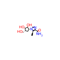 C#Cc1c(C(N)=O)ncn1[C@@H]1C[C@H](CO)[C@@H](O)[C@H]1O